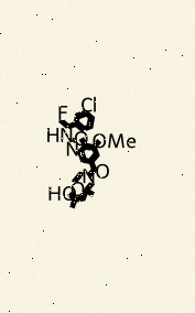 COc1cc(C(=O)N2CCOC(C)(CC(C)O)C2)cc2nc(NC(CF)c3cccc(Cl)c3)oc12